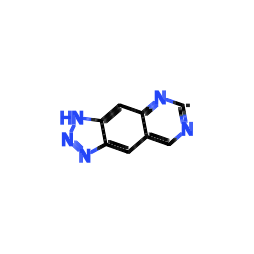 [c]1ncc2cc3nn[nH]c3cc2n1